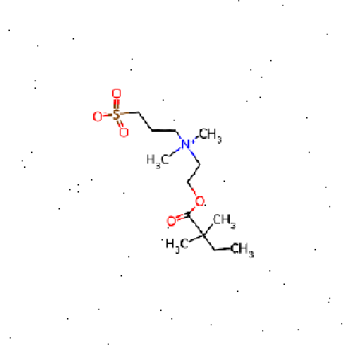 CCC(C)(C)C(=O)OCC[N+](C)(C)CCCS(=O)(=O)[O-]